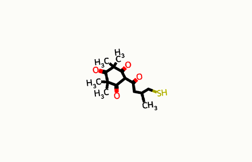 CC(CS)CC(=O)C1C(=O)C(C)(C)C(=O)C(C)(C)C1=O